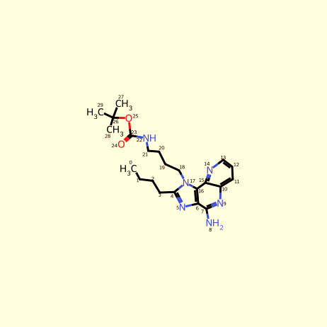 CCCCc1nc2c(N)nc3cccnc3c2n1CCCCNC(=O)OC(C)(C)C